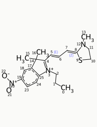 CCC[N+]1=C(/C=C/C=C2\SCCN2C)C(C)(C)c2cc([N+](=O)[O-])ccc21